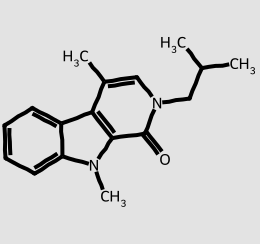 Cc1cn(CC(C)C)c(=O)c2c1c1ccccc1n2C